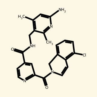 Cc1cc(N)nc(C)c1CNC(=O)c1ccnc(C(=O)N2C=Cc3c(Cl)cccc3C2)c1